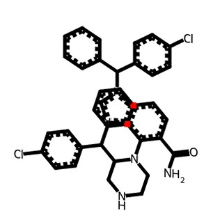 NC(=O)c1ccc2c(ncn2C(c2ccccc2)c2ccc(Cl)cc2)c1N1CCNCC1C(c1ccccc1)c1ccc(Cl)cc1